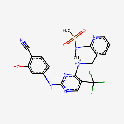 CN(c1ncccc1CNc1nc(Nc2ccc(C#N)c(O)c2)ncc1C(F)(F)F)S(C)(=O)=O